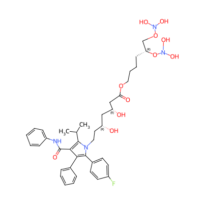 CC(C)c1c(C(=O)Nc2ccccc2)c(-c2ccccc2)c(-c2ccc(F)cc2)n1CC[C@@H](O)C[C@@H](O)CC(=O)OCCCC[C@H](CON(O)O)ON(O)O